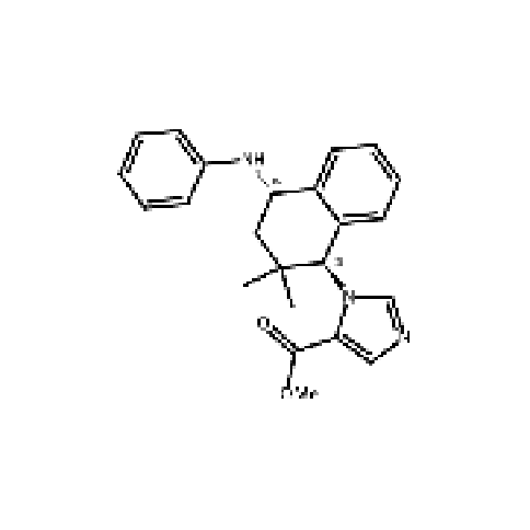 COC(=O)c1cncn1[C@@H]1c2ccccc2[C@@H](Nc2ccccc2)CC1(C)C